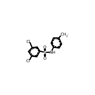 [CH2]c1ccc(NS(=O)(=O)c2cc(Cl)cc(Cl)c2)cc1